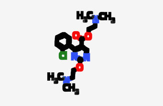 CN(C)CCOC(=O)c1cnc(OCCN(C)C)nc1-c1ccccc1Cl